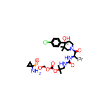 CC(C)C(NC(=O)NCC(C)(C)OC(=O)OCO[PH](=O)C1(N)CC1)C(=O)N1CC[C@](O)(c2ccc(Cl)cc2)C(C)(C)C1